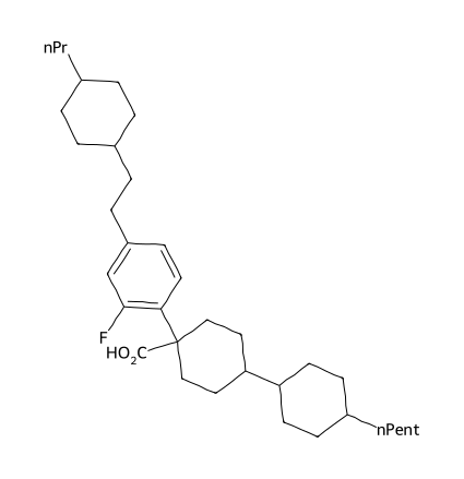 CCCCCC1CCC(C2CCC(C(=O)O)(c3ccc(CCC4CCC(CCC)CC4)cc3F)CC2)CC1